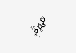 CC1CN(C)CC1n1cnn2c(C3CCOCC3)ncc2c1=O